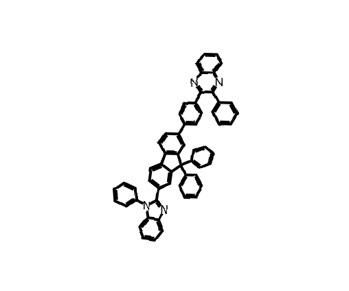 c1ccc(-c2nc3ccccc3nc2-c2ccc(-c3ccc4c(c3)C(c3ccccc3)(c3ccccc3)c3cc(-c5nc6ccccc6n5-c5ccccc5)ccc3-4)cc2)cc1